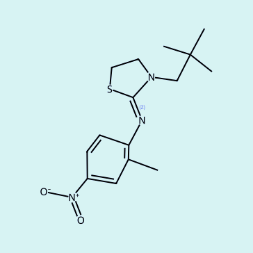 Cc1cc([N+](=O)[O-])ccc1/N=C1\SCCN1CC(C)(C)C